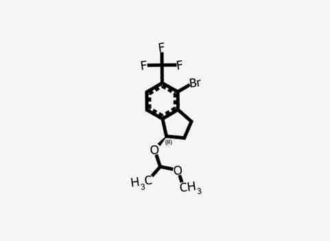 COC(C)O[C@@H]1CCc2c1ccc(C(F)(F)F)c2Br